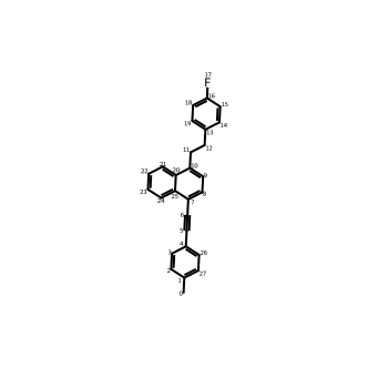 Cc1ccc(C#Cc2ccc(CCc3ccc(F)cc3)c3ccccc23)cc1